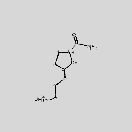 NC(=O)[C@H]1CCC(OCCC=O)O1